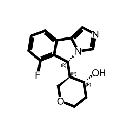 O[C@@H]1CCOC[C@H]1[C@@H]1c2c(F)cccc2-c2cncn21